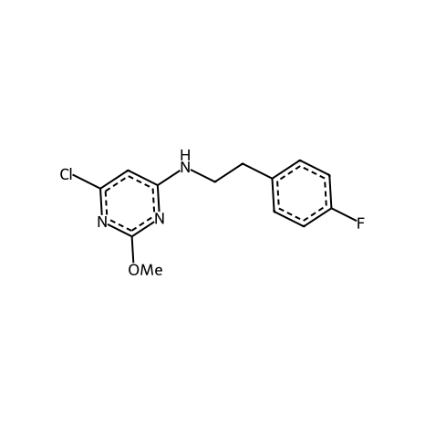 COc1nc(Cl)cc(NCCc2ccc(F)cc2)n1